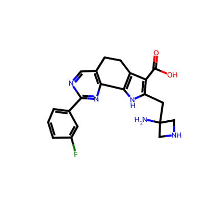 NC1(Cc2[nH]c3c(c2C(=O)O)CCc2cnc(-c4cccc(F)c4)nc2-3)CNC1